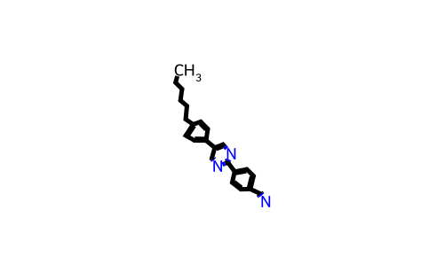 CCCCCCc1ccc(-c2cnc(-c3ccc(C#N)cc3)nc2)cc1